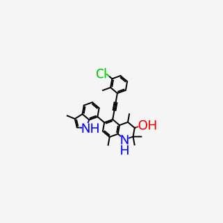 Cc1cc(-c2cccc3c(C)c[nH]c23)c(C#Cc2cccc(Cl)c2C)c2c1NC(C)(C)C(O)C2C